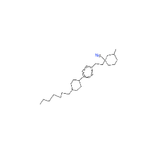 CCCCCCCC1CCC(c2ccc(CCC3(C#N)CCCC(C)C3)cc2)CC1